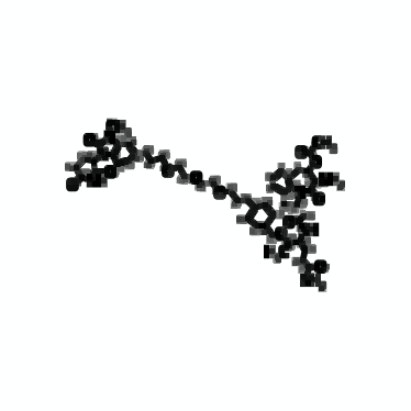 CC(=O)OC1Cc2cccc3c2N(C(=O)[C@H]1N)[C@H](CC(=O)N[C@@H](CCC(N)=O)[C@@H](C)OCc1ccc(CCCOCCOCCOCCCc2ccc4c(c2)n(C)c(=O)n4C2CCC(=O)NC2=O)cc1)C3